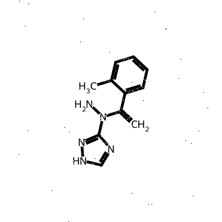 C=C(c1ccccc1C)N(N)c1nc[nH]n1